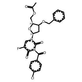 CC(=O)OC[C@@H]1O[C@H](n2cc(F)c(=O)n(C(=O)c3ccc(Cl)cc3)c2=O)CC1OCc1ccccc1